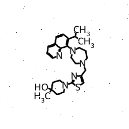 CC(C)c1ccc2cccnc2c1N1CCCN(Cc2csc(N3CCC(C)(O)CC3)n2)CC1